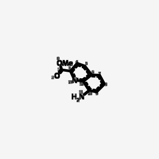 COC(=O)c1ccc2cccc(N)c2n1